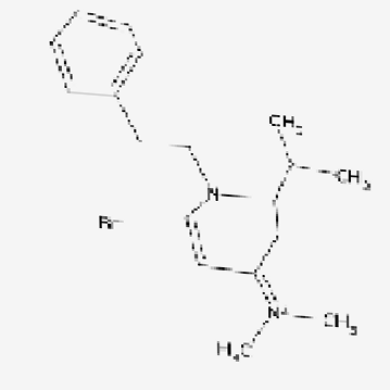 CC(C)C1CC(=[N+](C)C)C=CN1CCc1ccccc1.[Br-]